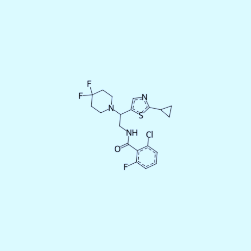 O=C(NCC(c1cnc(C2CC2)s1)N1CCC(F)(F)CC1)c1c(F)cccc1Cl